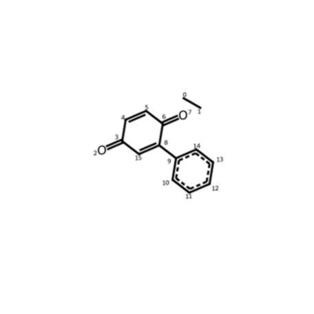 CC.O=C1C=CC(=O)C(c2ccccc2)=C1